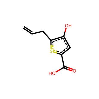 C=CCc1sc(C(=O)O)cc1O